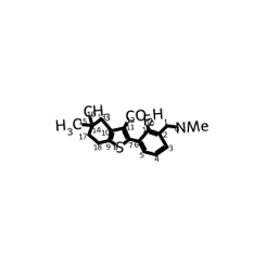 CNCc1cccc(-c2sc3c(c2C(=O)O)CC(C)(C)CC3)c1F